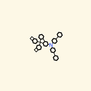 c1ccc(-c2ccc(N(c3ccc(-c4ccccc4)cc3)c3ccc4c(c3)-c3ccccc3C4(c3ccc4c(c3)CC4)c3ccc4c(c3)CC4)cc2)cc1